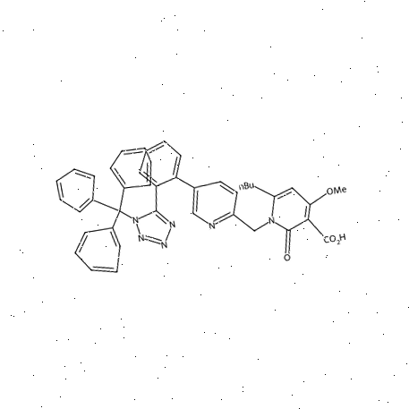 CCCCc1cc(OC)c(C(=O)O)c(=O)n1Cc1ccc(-c2ccccc2-c2nnnn2C(c2ccccc2)(c2ccccc2)c2ccccc2)cn1